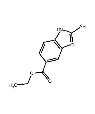 CCOC(=O)c1ccc2[nH]c(S)nc2c1